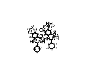 NS(=O)(=O)c1cc2c(cc1Cl)NC(C1CCCCC1)NS2(=O)=O.O=S1(=O)NC(C2CCCCC2)Nc2cc3c(cc21)OCCO3